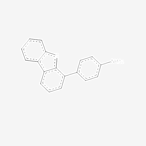 CC(=O)Nc1ccc(-c2cccc3c2sc2ccccc23)cc1